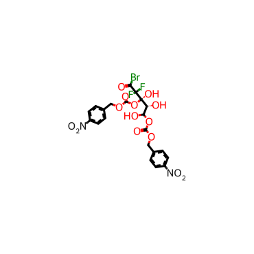 O=C(OCc1ccc([N+](=O)[O-])cc1)OC(O)[C@@H](O)[C@@](O)(OC(=O)OCc1ccc([N+](=O)[O-])cc1)C(F)(F)C(=O)Br